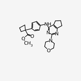 COC(=O)C1(c2ccc(Nc3nc(N4CCOCC4)nc4c3CCC4)cc2)CCC1